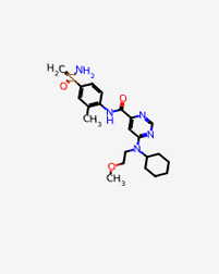 C=S(N)(=O)c1ccc(NC(=O)c2cc(N(CCOC)C3CCCCC3)ncn2)c(C)c1